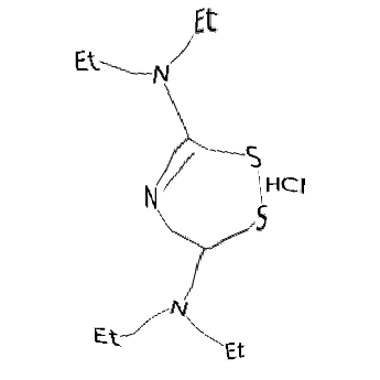 CCN(CC)C1=NC(N(CC)CC)SS1.Cl